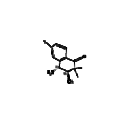 CC1(C)C(=O)c2ccc(F)cc2[C@@H](N)[C@@H]1O